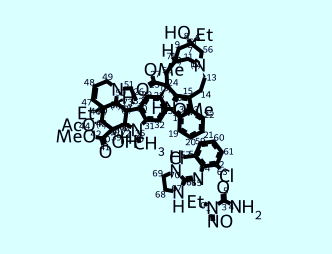 CCN(N=O)C(N)=O.CC[C@]1(O)C[C@@H]2C[N@@](CCc3c([nH]c4ccccc34)[C@@](C(=O)OC)(c3cc4c(cc3OC)N(C)[C@H]3[C@@](O)(C(=O)OC)[C@H](OC(C)=O)[C@]5(CC)C=CCN6CC[C@]43[C@@H]65)C2)C1.Clc1cccc(Cl)c1N=C1NCCN1